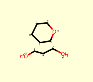 C1CCOCC1.OCCCO